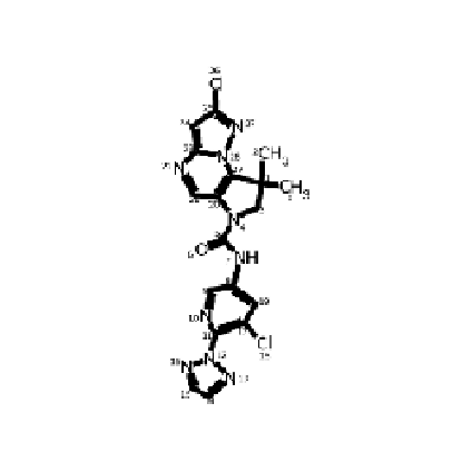 CC1(C)CN(C(=O)Nc2cnc(-n3nccn3)c(Cl)c2)c2cnc3cc(Cl)nn3c21